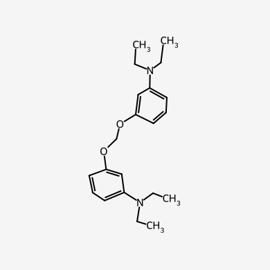 CCN(CC)c1cccc(OCOc2cccc(N(CC)CC)c2)c1